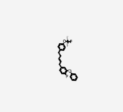 Fc1ccc(CC=CCCc2ccc(OC(F)(F)F)cc2)cc1Oc1ccccc1